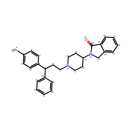 CCCc1ccc(C(CCN2CCC(N3Cc4ccccc4C3=O)CC2)c2ccccc2)cc1